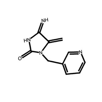 C=C1C(=N)NC(=O)N1Cc1cccnc1